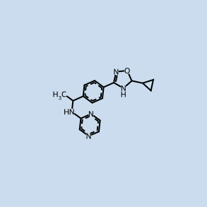 CC(Nc1cnccn1)c1ccc(C2=NOC(C3CC3)N2)cc1